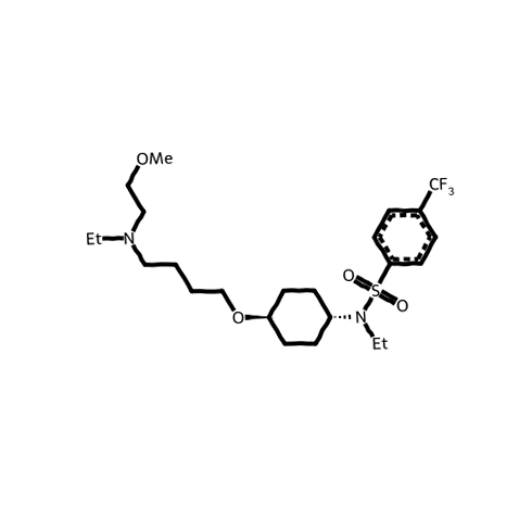 CCN(CCCCO[C@H]1CC[C@H](N(CC)S(=O)(=O)c2ccc(C(F)(F)F)cc2)CC1)CCOC